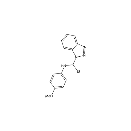 CCC(Nc1ccc(OC)cc1)n1nnc2ccccc21